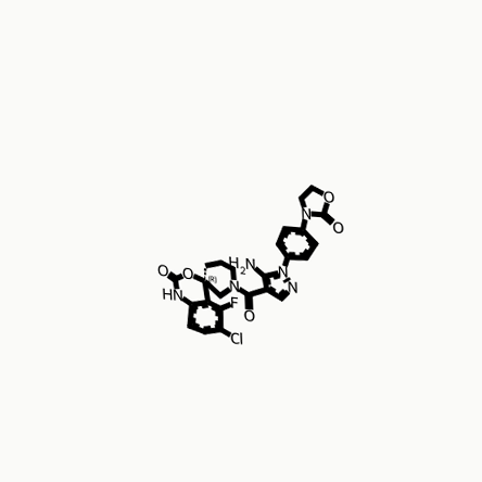 Nc1c(C(=O)N2CCC[C@@]3(C2)OC(=O)Nc2ccc(Cl)c(F)c23)cnn1-c1ccc(N2CCOC2=O)cc1